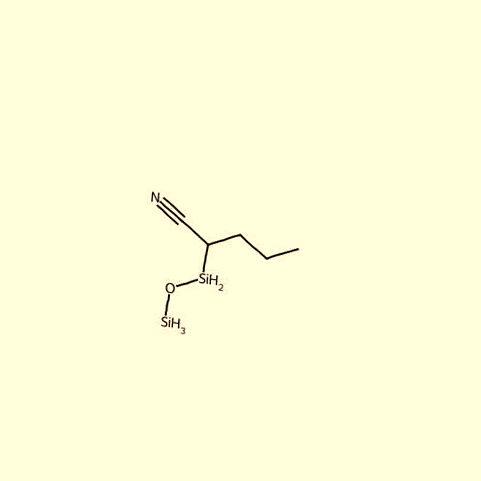 CCCC(C#N)[SiH2]O[SiH3]